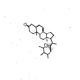 CC(O)C(C)C(C)/C=C/C(C)C1CCC2C3=CCC4CC(=O)CCC4(C)C3CCC21C